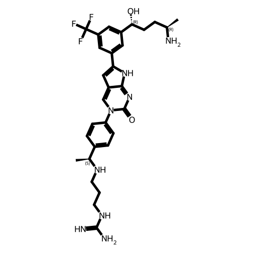 C[C@H](NCCCNC(=N)N)c1ccc(-n2cc3cc(-c4cc([C@H](O)CC[C@@H](C)N)cc(C(F)(F)F)c4)[nH]c3nc2=O)cc1